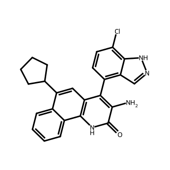 Nc1c(-c2ccc(Cl)c3[nH]ncc23)c2cc(C3CCCC3)c3ccccc3c2[nH]c1=O